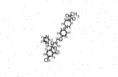 CS(=O)(=O)N1CCN(c2ccc(OC[C@H]3CO[C@](Cn4ccnc4)(c4ccc(Cl)cc4Cl)O3)cc2)CC1